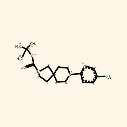 Bc1ccc(N2CCC3(CCN(C(=O)OC(C)(C)C)C3)CC2)nc1